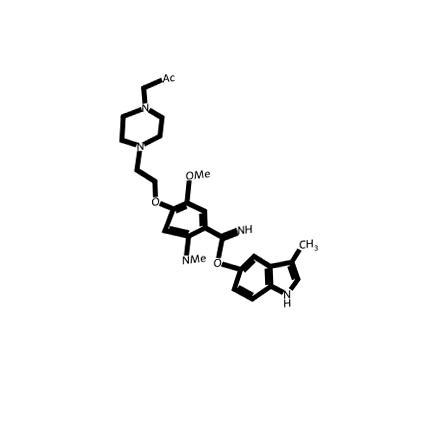 CNc1cc(OCCN2CCN(CC(C)=O)CC2)c(OC)cc1C(=N)Oc1ccc2[nH]cc(C)c2c1